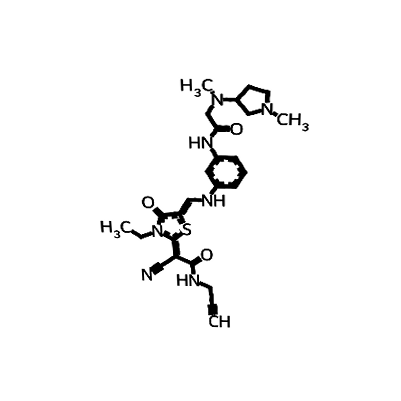 C#CCNC(=O)C(C#N)=c1sc(=CNc2cccc(NC(=O)CN(C)C3CCN(C)C3)c2)c(=O)n1CC